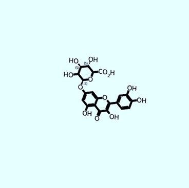 O=C(O)C1O[C@@H](Oc2cc(O)c3c(=O)c(O)c(-c4ccc(O)c(O)c4)oc3c2)C(O)[C@@H](O)[C@@H]1O